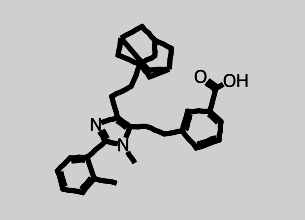 Cc1ccccc1-c1nc(CCC23CC4CC(CC(C4)C2)C3)c(CCc2cccc(C(=O)O)c2)n1C